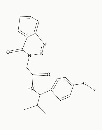 COc1ccc(C(NC(=O)Cn2nnc3ccccc3c2=O)C(C)C)cc1